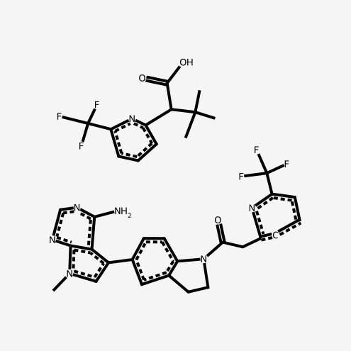 CC(C)(C)C(C(=O)O)c1cccc(C(F)(F)F)n1.Cn1cc(-c2ccc3c(c2)CCN3C(=O)Cc2cccc(C(F)(F)F)n2)c2c(N)ncnc21